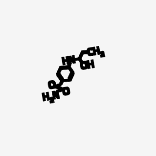 C=CC(O)Nc1ccc(S(N)(=O)=O)cc1